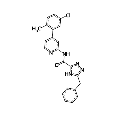 Cc1ccc(Cl)cc1-c1ccnc(NC(=O)c2nnc(Cc3ccccc3)[nH]2)c1